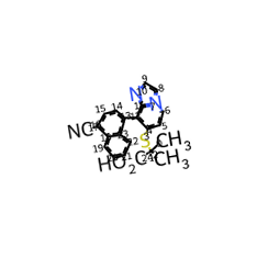 CC(C)(Sc1ccn2ccnc2c1-c1ccc(C#N)c2ccccc12)C(=O)O